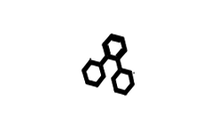 [CH]1CCCCC1c1ccccc1C1[CH]CCCC1